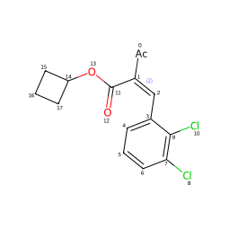 CC(=O)/C(=C/c1cccc(Cl)c1Cl)C(=O)OC1CCC1